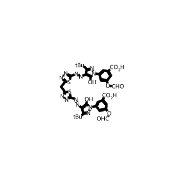 CC(C)(C)c1nn(-c2cc(OC=O)cc(C(=O)O)c2)c(O)c1N=Nc1nnc(Cc2nnc(N=Nc3c(C(C)(C)C)nn(-c4cc(OC=O)cc(C(=O)O)c4)c3O)s2)s1